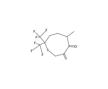 C=C1CSC(C(F)(F)F)(C(F)(F)F)CCC(C)C1=O